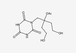 CC(=O)OC(CCO)(CCO)Cn1c(=O)[nH]c(=O)[nH]c1=O